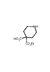 CCOC(=O)C1(C(=O)O)CCNCC1